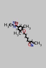 Cc1cc(CCCCCOc2c(C)cc(-c3nc(C)no3)cc2C)on1